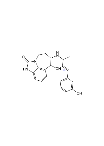 CC(/C=C/c1cccc(O)c1)NC1CCn2c(=O)[nH]c3cccc(c32)C1O